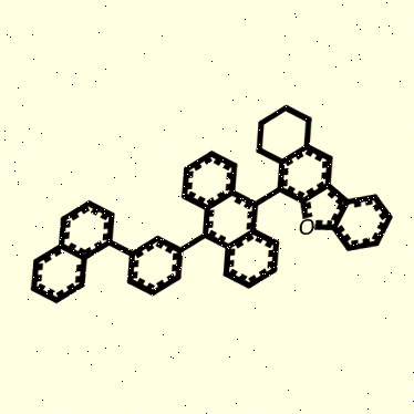 c1cc(-c2cccc3ccccc23)cc(-c2c3ccccc3c(-c3c4c(cc5c3oc3ccccc35)CCCC4)c3ccccc23)c1